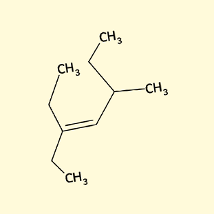 CCC(=CC(C)CC)CC